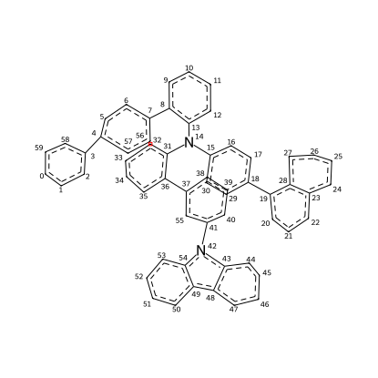 c1ccc(-c2ccc(-c3ccccc3N(c3ccc(-c4cccc5ccccc45)cc3)c3ccccc3-c3cccc(-n4c5ccccc5c5ccccc54)c3)cc2)cc1